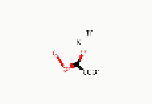 O=C([O-])C([O-])=[O+][O-].[K+].[Ti+4]